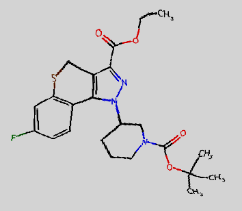 CCOC(=O)c1nn(C2CCCN(C(=O)OC(C)(C)C)C2)c2c1CSc1cc(F)ccc1-2